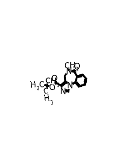 CN1Cc2c(C(=O)OC(C)(C)C)ncn2-c2ccccc2C1=O